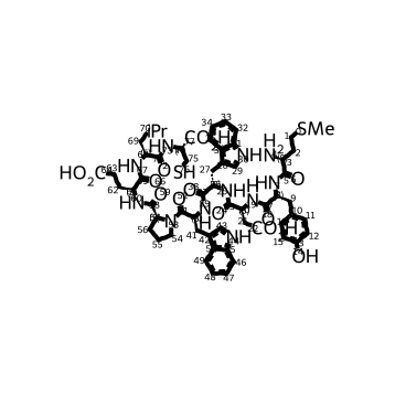 CSCC[C@H](N)C(=O)N[C@@H](Cc1ccc(O)cc1)C(=O)N[C@@H](CC(=O)O)C(=O)N[C@@H](Cc1c[nH]c2ccccc12)C(=O)N[C@@H](Cc1c[nH]c2ccccc12)C(=O)N1CCC[C@H]1C(=O)N[C@@H](CCC(=O)O)C(=O)N[C@@H](CC(C)C)C(=O)N[C@@H](CS)C(=O)O